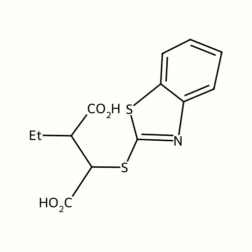 CCC(C(=O)O)C(Sc1nc2ccccc2s1)C(=O)O